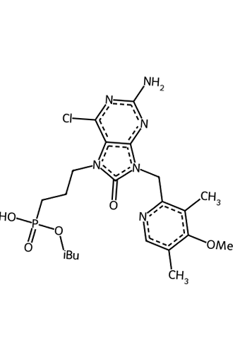 CCC(C)OP(=O)(O)CCCn1c(=O)n(Cc2ncc(C)c(OC)c2C)c2nc(N)nc(Cl)c21